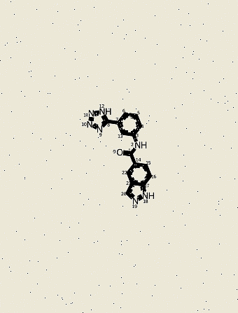 O=C(Nc1cccc(-c2nnn[nH]2)c1)c1ccc2[nH]ncc2c1